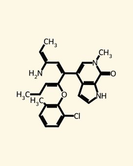 C\C=C(N)/C=C(\C(=C\CC)Oc1c(C)cccc1Cl)c1cn(C)c(=O)c2[nH]ccc12